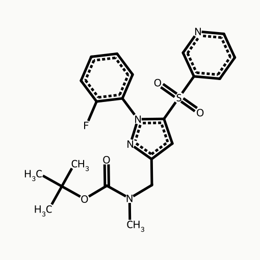 CN(Cc1cc(S(=O)(=O)c2cccnc2)n(-c2ccccc2F)n1)C(=O)OC(C)(C)C